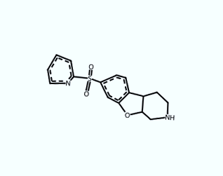 O=S(=O)(c1ccc2c(c1)OC1CNCCC21)c1ccccn1